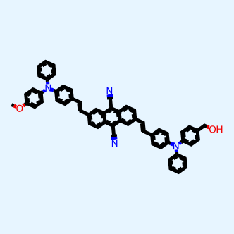 COc1ccc(N(c2ccccc2)c2ccc(C=Cc3ccc4c(C#N)c5cc(C=Cc6ccc(N(c7ccccc7)c7ccc(CO)cc7)cc6)ccc5c(C#N)c4c3)cc2)cc1